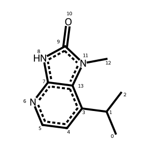 CC(C)c1ccnc2[nH]c(=O)n(C)c12